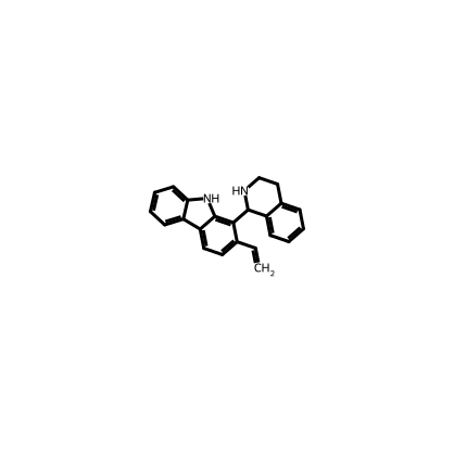 C=Cc1ccc2c([nH]c3ccccc32)c1C1NCCc2ccccc21